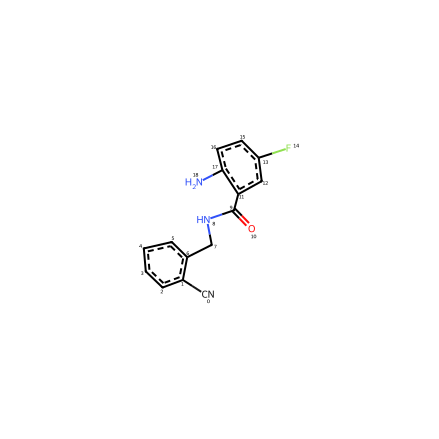 N#Cc1ccccc1CNC(=O)c1cc(F)ccc1N